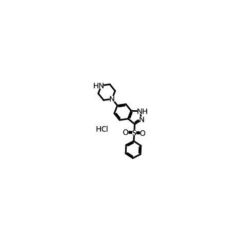 Cl.O=S(=O)(c1ccccc1)c1n[nH]c2cc(N3CCNCC3)ccc12